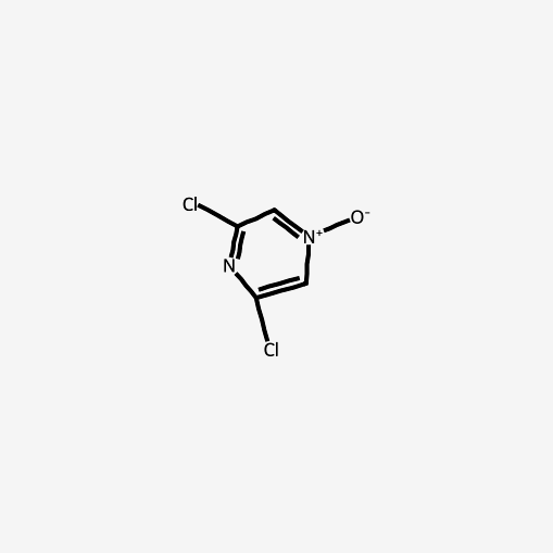 [O-][n+]1cc(Cl)nc(Cl)c1